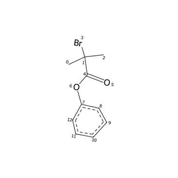 CC(C)(Br)C(=O)Oc1ccccc1